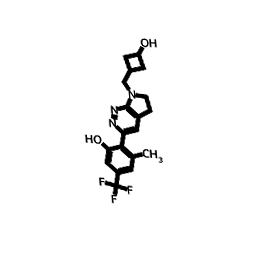 Cc1cc(C(F)(F)F)cc(O)c1-c1cc2c(nn1)N(CC1CC(O)C1)CC2